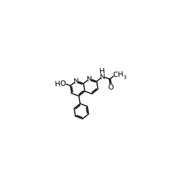 CC(=O)Nc1ccc2c(-c3ccccc3)cc(O)nc2n1